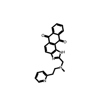 CN(CCc1ccccn1)Cc1nc2ccc3c(c2[nH]1)C(=O)c1ccccc1C3=O